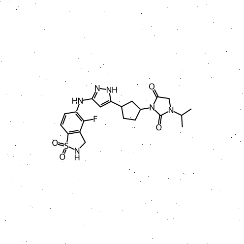 CC(C)N1CC(=O)N(C2CCC(c3cc(Nc4ccc5c(c4F)CNS5(=O)=O)n[nH]3)C2)C1=O